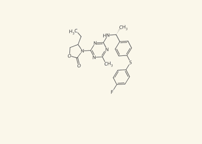 CCC1COC(=O)N1c1nc(C)nc(N[C@H](C)c2ccc(Sc3ccc(F)cc3)cc2)n1